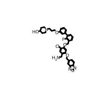 NCc1cc(Cl)c(OCc2cccc(-c3cccc(OCCCN4CCC(O)CC4)c3)c2F)cc1OCc1ccc2nonc2c1